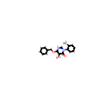 N#Cc1ccccc1-n1cnc(OCc2ccccc2)c(Br)c1=O